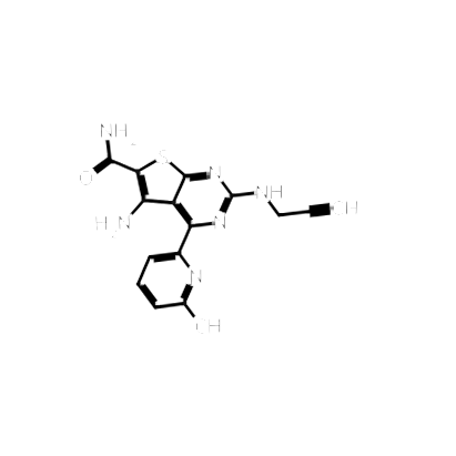 C#CCNc1nc(-c2cccc(C)n2)c2c(N)c(C(N)=O)sc2n1